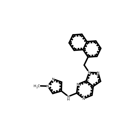 Cn1cc(Nc2ncc3cnn(Cc4cccc5ccccc45)c3n2)cn1